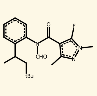 Cc1nn(C)c(F)c1C(=O)N(C=O)c1ccccc1C(C)CC(C)(C)C